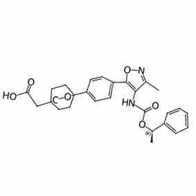 Cc1noc(-c2ccc(C34CCC(CC(=O)O)(CC3)CO4)cc2)c1NC(=O)O[C@H](C)c1ccccc1